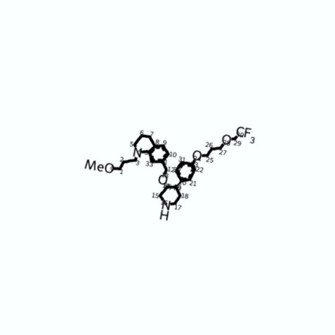 COCCCN1CCCc2ccc(CO[C@H]3CNCC[C@@H]3c3ccc(OCCCOCC(F)(F)F)cc3)cc21